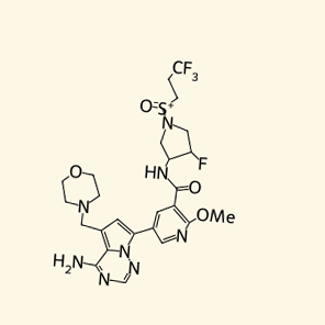 COc1ncc(-c2cc(CN3CCOCC3)c3c(N)ncnn23)cc1C(=O)NC1CN([S+]([O-])CCC(F)(F)F)CC1F